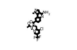 CC(=O)N(C)N(Cc1ncc(C(F)(F)F)cc1Cl)C(=O)c1ccc2nc(N)c3cnn(C)c3c2c1